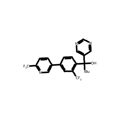 CC(C)(C)C(O)(c1cncnc1)c1ccc(-c2ccc(C(F)(F)F)nc2)cc1C(F)(F)F